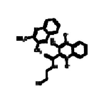 Cc1c(C(=O)NCCO)[n+]([O-])c2ccccc2[n+]1[O-].Cc1nc2ccccc2nc1C(=O)O